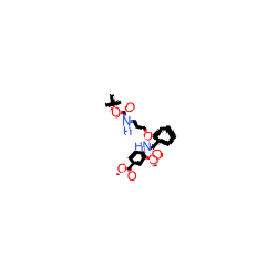 COC(=O)c1ccc(NC(=O)c2ccccc2OCCCNC(=O)OC(C)(C)C)c(OC)c1